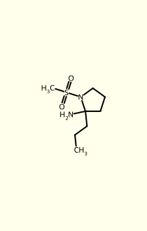 CCCC1(N)CCCN1S(C)(=O)=O